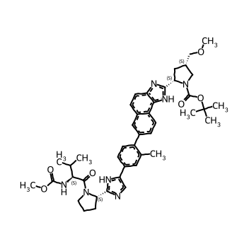 COC[C@H]1C[C@@H](c2nc3ccc4cc(-c5ccc(-c6cnc([C@@H]7CCCN7C(=O)[C@@H](NC(=O)OC)C(C)C)[nH]6)cc5C)ccc4c3[nH]2)N(C(=O)OC(C)(C)C)C1